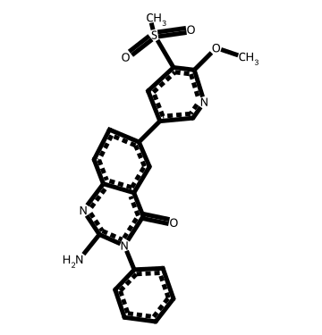 COc1ncc(-c2ccc3nc(N)n(-c4ccccc4)c(=O)c3c2)cc1S(C)(=O)=O